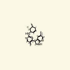 CC1CC=C[C@@H](Nc2ncc(F)c(C3CNc4ncc(F)cc43)n2)[C@@H]1C